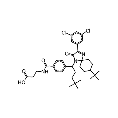 CC(C)(C)CCC(c1ccc(C(=O)NCCC(=O)O)cc1)N1C(=O)C(c2cc(Cl)cc(Cl)c2)=NC12CCC(C(C)(C)C)CC2